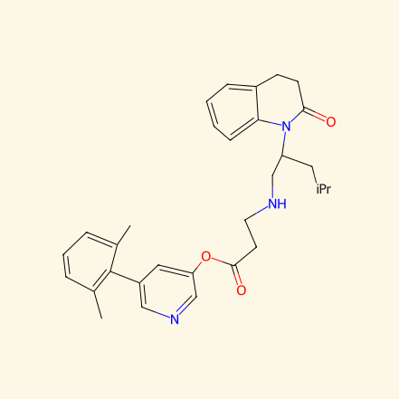 Cc1cccc(C)c1-c1cncc(OC(=O)CCNCC(CC(C)C)N2C(=O)CCc3ccccc32)c1